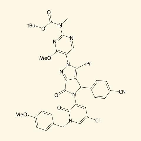 COc1ccc(Cn2cc(Cl)cc(N3C(=O)c4nn(-c5cnc(N(C)C(=O)OC(C)(C)C)nc5OC)c(C(C)C)c4C3c3ccc(C#N)cc3)c2=O)cc1